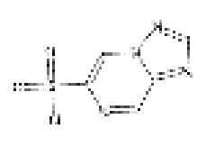 O=S(=O)(Cl)c1cn2ncnc2cn1